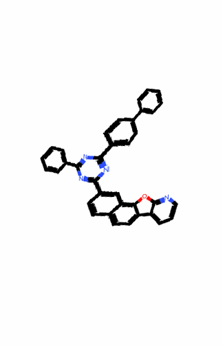 c1ccc(-c2ccc(-c3nc(-c4ccccc4)nc(-c4ccc5ccc6c7cccnc7oc6c5c4)n3)cc2)cc1